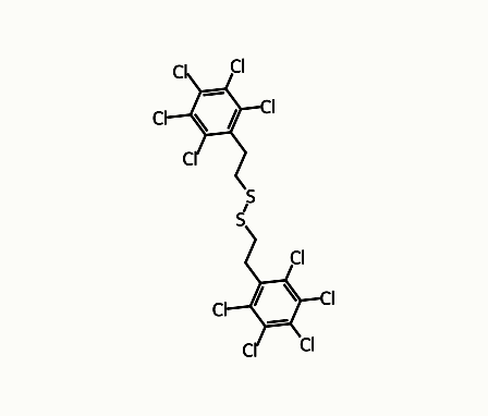 Clc1c(Cl)c(Cl)c(CCSSCCc2c(Cl)c(Cl)c(Cl)c(Cl)c2Cl)c(Cl)c1Cl